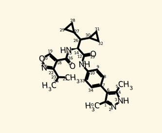 Cc1n[nH]c(C)c1-c1ccc(NC(=O)[C@@H](NC(=O)c2conc2C(C)C)C(C2CC2)C2CC2)cc1